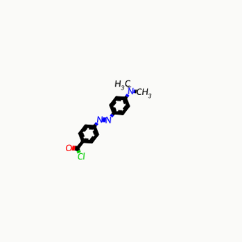 CN(C)c1ccc(/N=N/c2ccc(C(=O)Cl)cc2)cc1